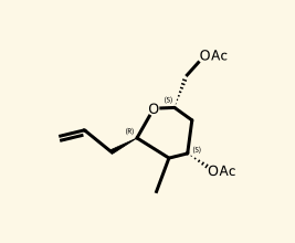 C=CC[C@H]1O[C@H](COC(C)=O)C[C@H](OC(C)=O)C1C